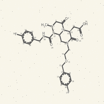 CN1CC(=O)N2C(CN(CCOCc3ccc(F)cc3)C(=O)[C@@H]2CC(=O)O)N1C(=O)NCc1ccc(F)cc1